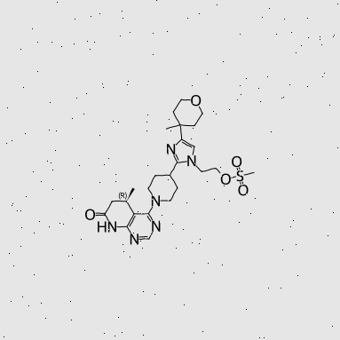 C[C@@H]1CC(=O)Nc2ncnc(N3CCC(c4nc(C5(C)CCOCC5)cn4CCOS(C)(=O)=O)CC3)c21